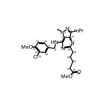 CCCc1nn(C)c2c(NCc3ccc(OC)c(Cl)c3)nc(CCCCC(=O)OC)nc12